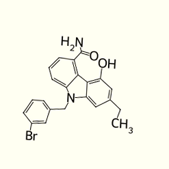 CCc1cc(O)c2c3c(C(N)=O)cccc3n(Cc3cccc(Br)c3)c2c1